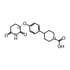 O=C1CC[C@H](Oc2ccc(C3CCN(C(=O)O)CC3)cc2)C(=O)N1